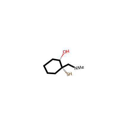 CNC[C@@]1(S)CCCC[C@@H]1O